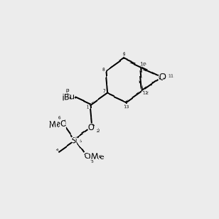 CCC(C)C(O[Si](C)(OC)OC)C1CCC2OC2C1